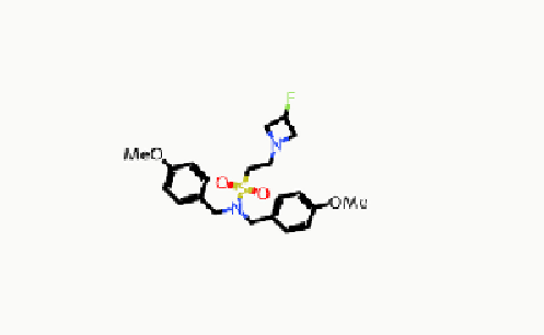 COc1ccc(CN(Cc2ccc(OC)cc2)S(=O)(=O)CCN2CC(F)C2)cc1